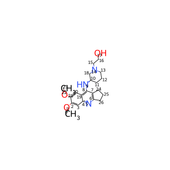 COc1cc2nc3c(c(N[C@@H]4CCCN(CCO)C4)c2cc1OC)CCC3